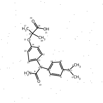 CN(C)c1ccc(N(C(N)=O)c2ccc(OC(C)(C)C(=O)O)cc2)cc1